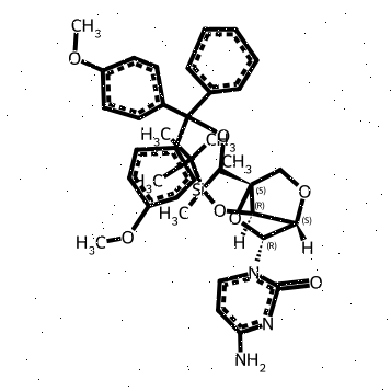 COc1ccc(C(OC[C@]23CO[C@H]([C@H](n4ccc(N)nc4=O)O2)[C@H]3O[Si](C)(C)C(C)(C)C)(c2ccccc2)c2ccc(OC)cc2)cc1